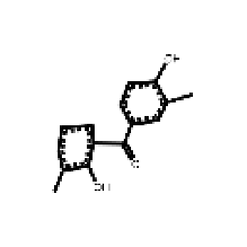 Cc1cc(C(=O)c2cccc(C)c2O)ccc1O